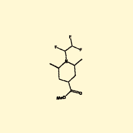 COC(=O)C1CC(C)N(C(F)C(F)F)C(C)C1